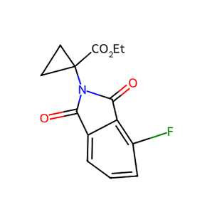 CCOC(=O)C1(N2C(=O)c3cccc(F)c3C2=O)CC1